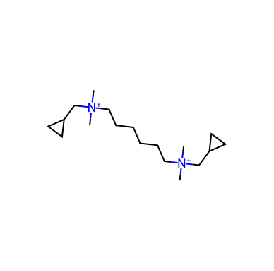 C[N+](C)(CCCCCC[N+](C)(C)CC1CC1)CC1CC1